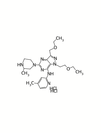 CCOCCn1nc(COCC)c2nc(N3CCNC(C)C3)nc(Nc3cc(C)ccn3)c21.Cl.Cl